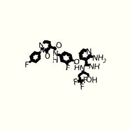 N=C(NC(CO)CC(F)(F)F)c1c(Oc2ccc(NC(=O)c3ccnn(-c4ccc(F)cc4)c3=O)cc2F)ccnc1N